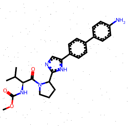 COC(=O)N[C@H](C(=O)N1CCCC1c1ncc(-c2ccc(-c3ccc(N)cc3)cc2)[nH]1)C(C)C